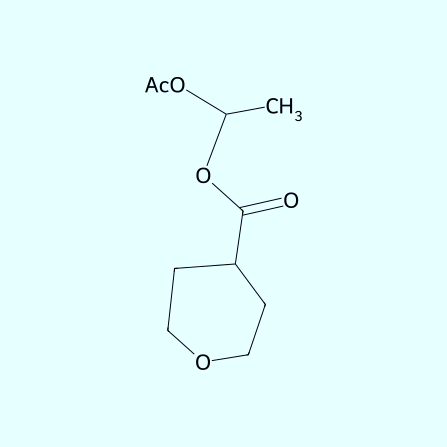 CC(=O)OC(C)OC(=O)C1CCOCC1